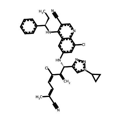 C=C(/C(Cl)=C\C=C(/C)C#N)[C@H](Nc1cc(Cl)c2ncc(C#N)c(N[C@H](CC)c3ccccc3)c2c1)c1cn(C2CC2)nn1